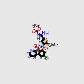 CSc1sc(C(=N)NC(=O)OC(C)(C)C)cc1S(=O)(=NS(=O)(=O)c1ccccn1)c1cccc(Br)c1